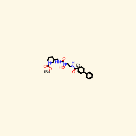 CCC1(C(=O)NCCN(O)C(=O)NCC2CCCN(C(=O)OC(C)(C)C)C2)C=CC(c2ccccc2)=CC1